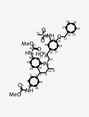 COC(=O)Nc1ccc(C(CC(C)NC[C@H](O)c2ccc(OCc3ccccc3)c(NS(C)(=O)=O)c2)c2ccc(NC(=O)OC)cc2)cc1